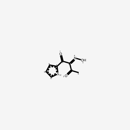 CC(=O)/C(=N\O)C(=O)c1cccs1